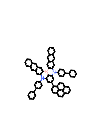 c1ccc(-c2ccc(N3c4cc5cc6ccccc6cc5cc4B4c5cc6cc7ccccc7cc6cc5N(c5ccc(-c6ccccc6)cc5)c5cc(-c6ccc7ccc8cccc9ccc6c7c89)cc3c54)cc2)cc1